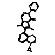 Cc1c(-c2cccc3c2CCCN3C2CC2)c(C)n2c(=O)n(-c3ncccn3)ncc12